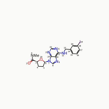 CNC(=O)[C@@H]1CC[C@H](n2cnc3c(NCc4cccc(I)c4)ncnc32)O1